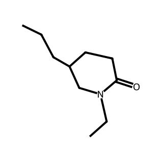 CCCC1CCC(=O)N(CC)C1